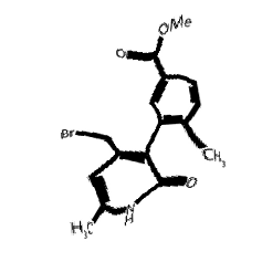 COC(=O)c1ccc(C)c(-c2c(CBr)cc(C)[nH]c2=O)c1